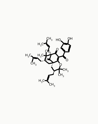 CC(C)=CC[C@H]1C[C@@]23C[C@H](CC=C(C)C)C(C)(C)[C@@](CC=C(C)C)(C(=O)C(C(=O)c4ccc(O)c(O)c4)=C2OC1(C)C)C3=O